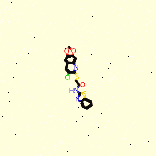 O=C(CSc1nc2cc3c(cc2cc1Cl)OCO3)Nc1nc2ccccc2s1